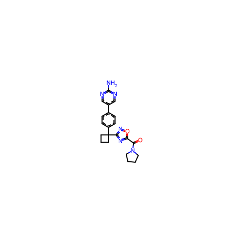 Nc1ncc(-c2ccc(C3(c4noc(C(=O)N5CCCC5)n4)CCC3)cc2)cn1